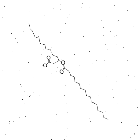 CCCCCCCCCCCCCCCC(=O)OC(CCCCCCCCCCC)CC([O])=O